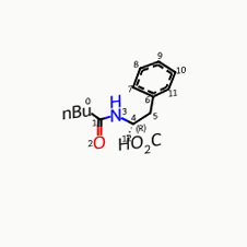 CCCCC(=O)N[C@H](Cc1ccccc1)C(=O)O